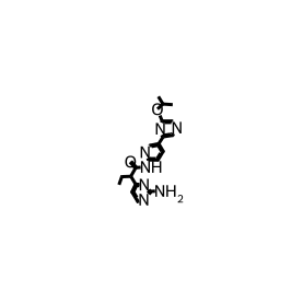 CCC(C(=O)Nc1ccc(-c2cncc(OC(C)C)n2)cn1)c1ccnc(N)n1